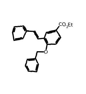 CCOC(=O)c1ccc(OCc2ccccc2)c(C=Cc2ccccc2)c1